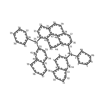 c1ccc(N(c2ccc3ccccc3n2)c2ccc3ccc4ccc(N(c5ccccc5)c5ccc6ccccc6n5)c5ccc2c3c45)cc1